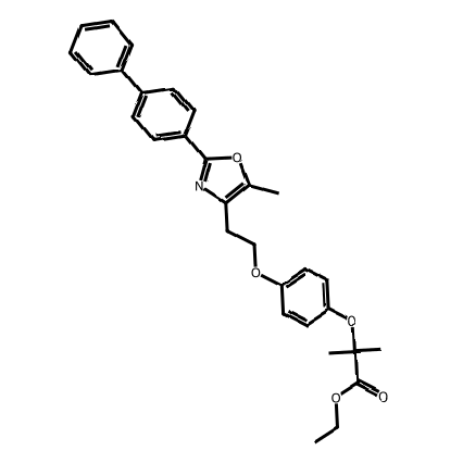 CCOC(=O)C(C)(C)Oc1ccc(OCCc2nc(-c3ccc(-c4ccccc4)cc3)oc2C)cc1